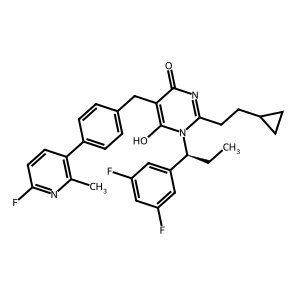 CC[C@@H](c1cc(F)cc(F)c1)n1c(CCC2CC2)nc(=O)c(Cc2ccc(-c3ccc(F)nc3C)cc2)c1O